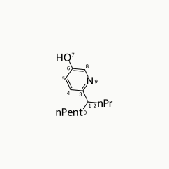 CCCCCC(CCC)c1ccc(O)cn1